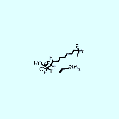 C=CCN.O=S(=O)(O)C(F)(F)C(F)(F)C(F)CCCCCCC(F)(F)F